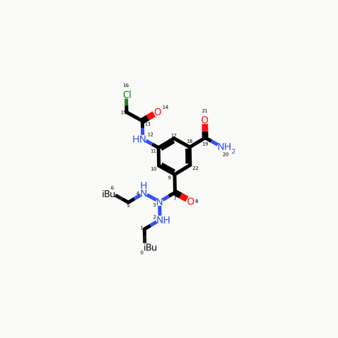 CCC(C)CNN(NCC(C)CC)C(=O)c1cc(NC(=O)CCl)cc(C(N)=O)c1